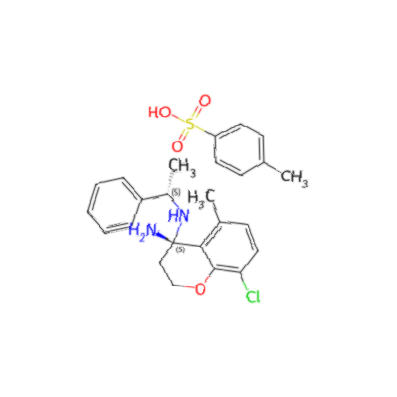 Cc1ccc(Cl)c2c1[C@@](N)(N[C@@H](C)c1ccccc1)CCO2.Cc1ccc(S(=O)(=O)O)cc1